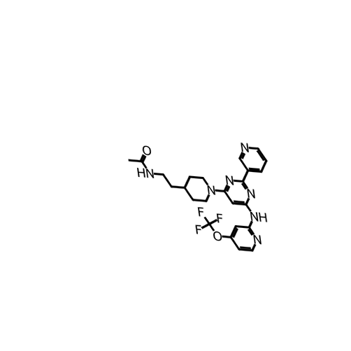 CC(=O)NCCC1CCN(c2cc(Nc3cc(OC(F)(F)F)ccn3)nc(-c3cccnc3)n2)CC1